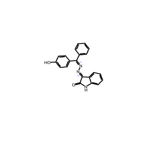 O=C1Nc2ccccc2/C1=N\N=C(\c1ccccc1)c1ccc(O)cc1